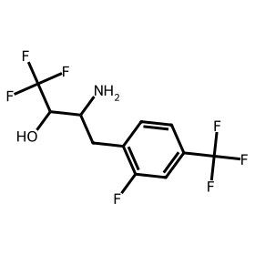 NC(Cc1ccc(C(F)(F)F)cc1F)C(O)C(F)(F)F